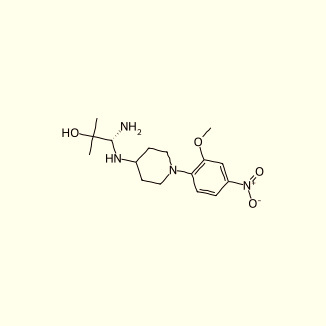 COc1cc([N+](=O)[O-])ccc1N1CCC(N[C@@H](N)C(C)(C)O)CC1